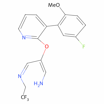 COc1ccc(F)cc1-c1cccnc1OC(/C=N\CC(F)(F)F)=C/N